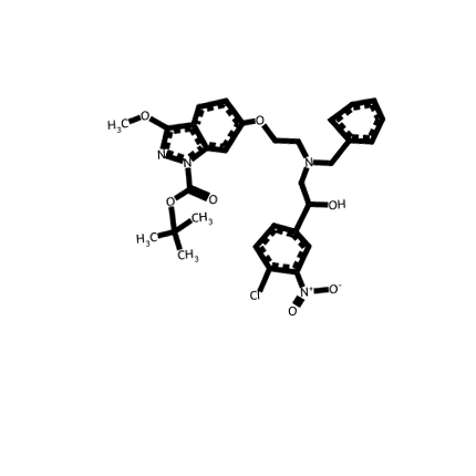 COc1nn(C(=O)OC(C)(C)C)c2cc(OCCN(Cc3ccccc3)CC(O)c3ccc(Cl)c([N+](=O)[O-])c3)ccc12